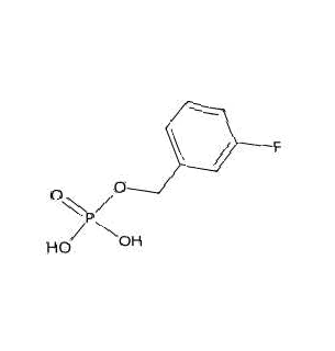 O=P(O)(O)OCc1cccc(F)c1